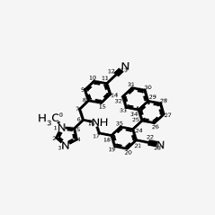 Cn1cncc1C(Cc1ccc(C#N)cc1)NCc1ccc(C#N)c(-c2cccc3ccccc23)c1